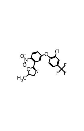 CC1CN=C(c2cc(Oc3ccc(C(F)(F)F)cc3Cl)ccc2[N+](=O)[O-])O1